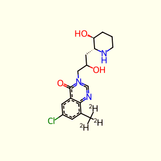 [2H]C([2H])([2H])c1cc(Cl)cc2c(=O)n(CC(O)C[C@H]3NCCC[C@@H]3O)cnc12